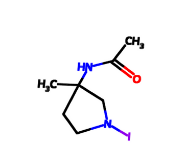 CC(=O)NC1(C)CCN(I)C1